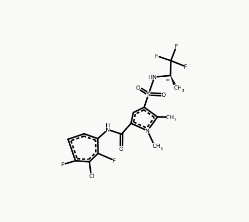 Cc1c(S(=O)(=O)N[C@H](C)C(F)(F)F)cc(C(=O)Nc2ccc(F)c(Cl)c2F)n1C